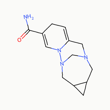 NC(=O)C1=CN2C(=CC1)CN1CC3CC3CN2C1